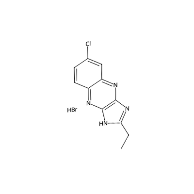 Br.CCc1nc2nc3cc(Cl)ccc3nc2[nH]1